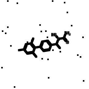 Cc1cc(C)c(-c2ccc(C(C)N(O)C(N)=O)cc2)c(C)c1